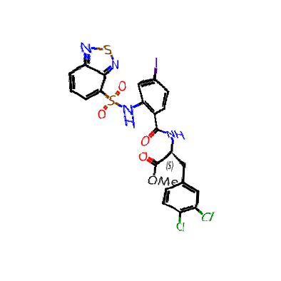 COC(=O)[C@H](Cc1ccc(Cl)c(Cl)c1)NC(=O)c1ccc(I)cc1NS(=O)(=O)c1cccc2nsnc12